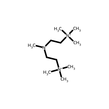 CN(CC[N+](C)(C)C)CC[N+](C)(C)C